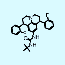 CC(C)(C)NC(=O)Nc1cc2c3c(c1)C(c1ccccc1F)CCN3CCC2c1ccccc1F